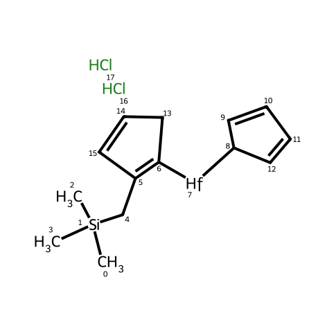 C[Si](C)(C)CC1=[C]([Hf][CH]2C=CC=C2)CC=C1.Cl.Cl